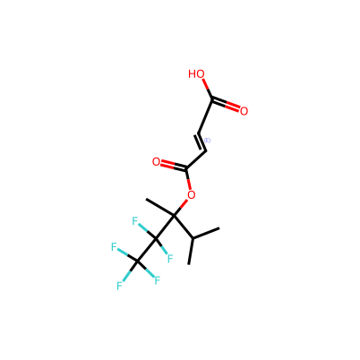 CC(C)C(C)(OC(=O)/C=C/C(=O)O)C(F)(F)C(F)(F)F